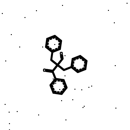 O=CC(Cc1ccccc1)(Cc1ccccc1)C(=O)c1ccccc1